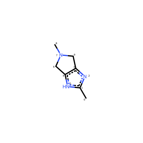 Cc1nc2c([nH]1)CN(C)C2